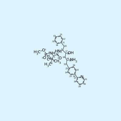 COC(=O)NC(C(=O)NC(Cc1ccccc1)C(O)CC(N)Cc1ccc(-c2ccccn2)cc1)C(C)(C)C